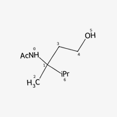 CC(=O)NC(C)(CCO)C(C)C